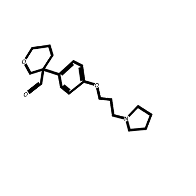 O=CC1(c2ccc(OCCCN3CCCC3)cc2)CCCOC1